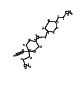 CCCC1CCC(COC2CCC(C#N)(CCC)CC2)CC1